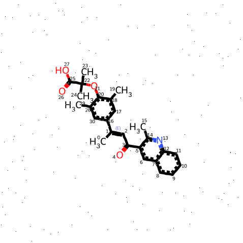 C/C(=C\C(=O)c1cc2ccccc2nc1C)c1cc(C)c(OC(C)(C)C(=O)O)c(C)c1